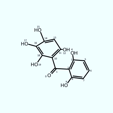 O=C(c1c(O)cccc1O)c1c(O)cc(O)c(O)c1O